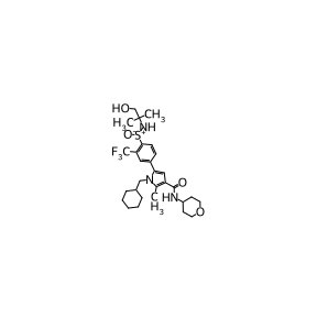 Cc1c(C(=O)NC2CCOCC2)cc(-c2ccc([S+]([O-])NC(C)(C)CO)c(C(F)(F)F)c2)n1CC1CCCCC1